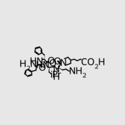 CC(C)C[C@@H](NC(=O)[C@@H](Cc1ccccc1)NC(=O)[C@H](N)Cc1ccccc1)C(=O)N[C@H](CCCN)C(=O)N1CCC(CCCC(=O)O)CC1